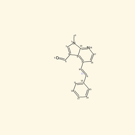 Cn1cc(C=O)c2c(/C=C/c3ccccc3)ccnc21